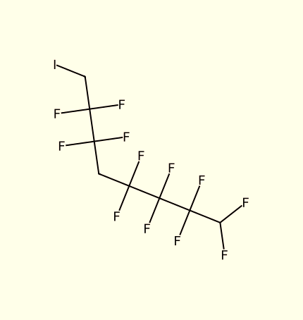 FC(F)C(F)(F)C(F)(F)C(F)(F)CC(F)(F)C(F)(F)CI